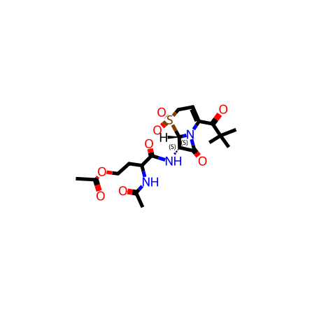 CC(=O)NC(CCOC(C)=O)C(=O)N[C@H]1C(=O)N2C(C(=O)C(C)(C)C)=CCS(=O)(=O)[C@@H]12